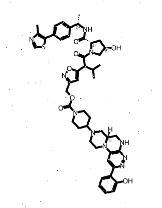 Cc1ncsc1-c1ccc([C@H](C)NC(=O)[C@@H]2C[C@@H](O)CN2C(=O)C(c2cc(COC(=O)N3CCC(N4CCN5c6cc(-c7ccccc7O)nnc6NC[C@H]5C4)CC3)no2)C(C)C)cc1